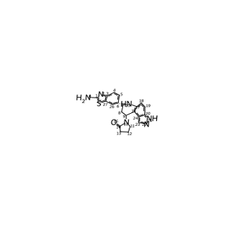 Nc1nc2ccc([C@H]3CC(N4CCCC4=O)c4c(ccc5[nH]ncc45)N3)cc2s1